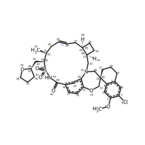 COc1cc2c(cc1Cl)CCC[C@]21COc2ccc3cc2N(C[C@@H]2CC[C@@H]2C/C=C/C[C@H](C)[C@H](C[C@H]2CCCO2)S(=O)(=O)NC3=O)C1